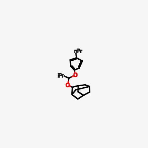 CCCc1ccc(OC(OC2C3CC4CC(C3)CC2C4)C(C)C)cc1